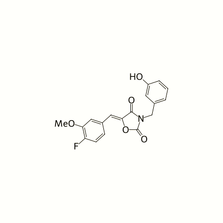 COc1cc(/C=C2\OC(=O)N(Cc3cccc(O)c3)C2=O)ccc1F